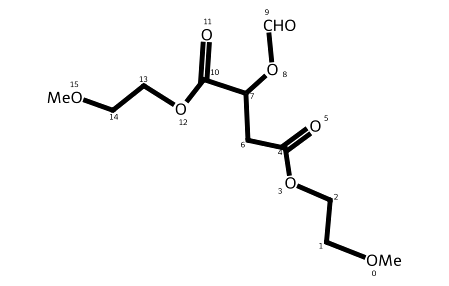 COCCOC(=O)CC(OC=O)C(=O)OCCOC